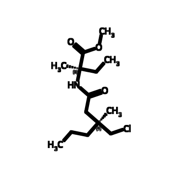 CCC[C@](C)(CCl)CC(=O)N[C@](C)(CC)C(=O)OC